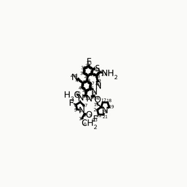 C=CC(=O)N1C[C@@H](F)[C@@H](N(C)c2nc(OC[C@@]34CCCN3C[C@H](F)C4)nc3cc(-c4ccc(F)c5sc(N)c(C#N)c45)c(C#N)cc23)C1